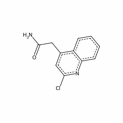 NC(=O)Cc1cc(Cl)nc2ccccc12